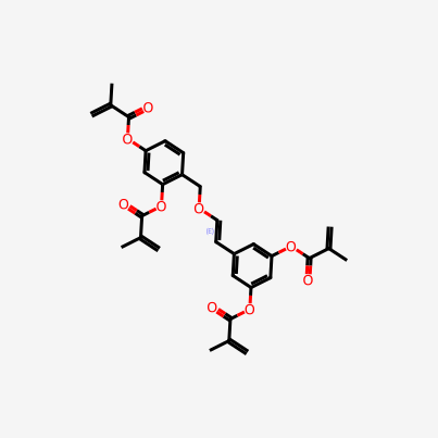 C=C(C)C(=O)Oc1cc(/C=C/OCc2ccc(OC(=O)C(=C)C)cc2OC(=O)C(=C)C)cc(OC(=O)C(=C)C)c1